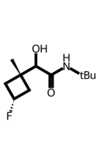 CC(C)(C)NC(=O)C(O)[C@]1(C)C[C@H](F)C1